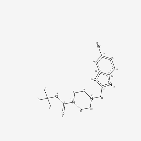 CC(C)(C)OC(=O)N1CCN(Cc2nc3ccc(Br)cc3o2)CC1